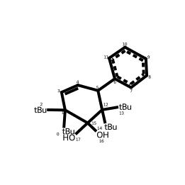 CC(C)(C)C1(C(C)(C)C)C=CC(c2ccccc2)C(C(C)(C)C)(C(C)(C)C)C1(O)O